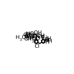 [2H]C([2H])([2H])Oc1ccc(Cc2cc([C@]3(OC)O[C@H](CO[Si](C)(C)C(C)(C)C)[C@@H](O)[C@H](O)[C@H]3O)ccc2Cl)cc1F